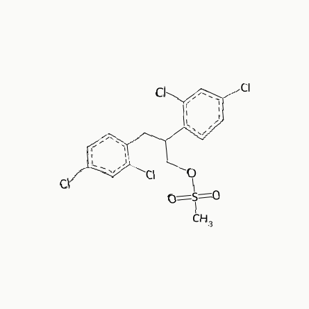 CS(=O)(=O)OCC(Cc1ccc(Cl)cc1Cl)c1ccc(Cl)cc1Cl